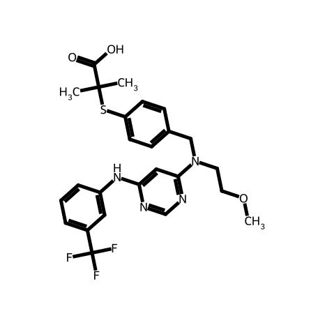 COCCN(Cc1ccc(SC(C)(C)C(=O)O)cc1)c1cc(Nc2cccc(C(F)(F)F)c2)ncn1